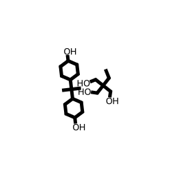 CC(C)(C1CCC(O)CC1)C1CCC(O)CC1.CCC(CO)(CO)CO